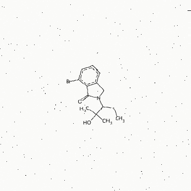 CCC(N1Cc2cccc(Br)c2C1=O)C(C)(C)O